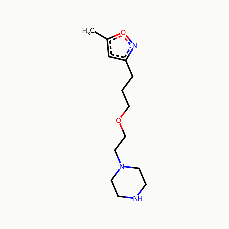 Cc1cc(CCCOCCN2CCNCC2)no1